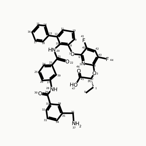 CC[C@@H](Oc1nc(Oc2cccc(-c3ccccc3)c2NC(=O)c2cccc(NC(=O)c3cccc(CN)c3)c2)c(F)cc1F)C(=O)O